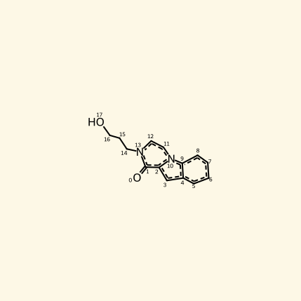 O=c1c2cc3ccccc3n2ccn1CCCO